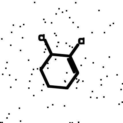 ClC1=CCCCC1Cl